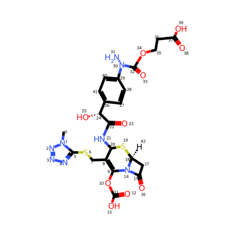 Cn1nnnc1SCC1=C(OC(=O)O)N2C(=O)C[C@@H]2SC1NC(=O)[C@H](O)c1ccc(N(N)C(=O)OCCC(=O)O)cc1